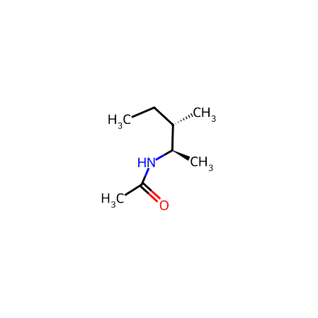 CC[C@H](C)[C@@H](C)NC(C)=O